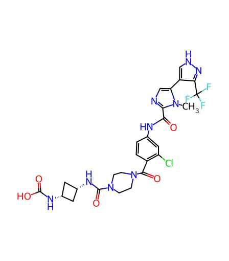 Cn1c(-c2c[nH]nc2C(F)(F)F)cnc1C(=O)Nc1ccc(C(=O)N2CCN(C(=O)N[C@H]3C[C@@H](NC(=O)O)C3)CC2)c(Cl)c1